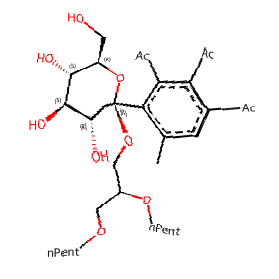 CCCCCOCC(CO[C@]1(c2c(C)cc(C(C)=O)c(C(C)=O)c2C(C)=O)O[C@H](CO)[C@@H](O)[C@H](O)[C@H]1O)OCCCCC